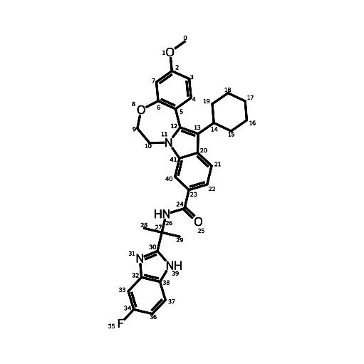 COc1ccc2c(c1)OCCn1c-2c(C2CCCCC2)c2ccc(C(=O)NC(C)(C)c3nc4cc(F)ccc4[nH]3)cc21